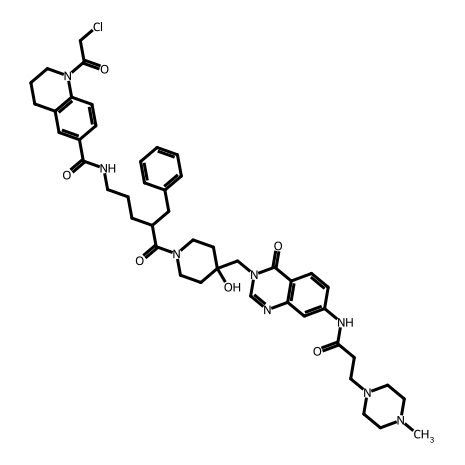 CN1CCN(CCC(=O)Nc2ccc3c(=O)n(CC4(O)CCN(C(=O)C(CCCNC(=O)c5ccc6c(c5)CCCN6C(=O)CCl)Cc5ccccc5)CC4)cnc3c2)CC1